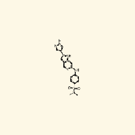 CN(C)S(=O)(=O)c1ccc(Nc2cc3[nH]c(-c4cn[nH]c4)cc3cn2)cc1